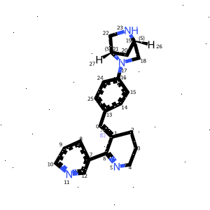 C(=C1/CCCN=C1c1cccnc1)/c1ccc(N2C[C@@H]3C[C@H]2CN3)cc1